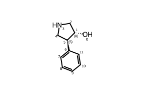 O[C@H]1CNC[C@@H]1c1ccccc1